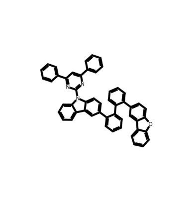 c1ccc(-c2cc(-c3ccccc3)nc(-n3c4ccccc4c4cc(-c5ccccc5-c5ccccc5-c5ccc6oc7ccccc7c6c5)ccc43)n2)cc1